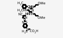 COCCCNc1nc(NCCCOC)c(N=Nc2nn(-c3nc4ccc(N(C)CC(=O)O)cc4s3)cc2C#N)c(Nc2c(C)cc(C)cc2C)n1